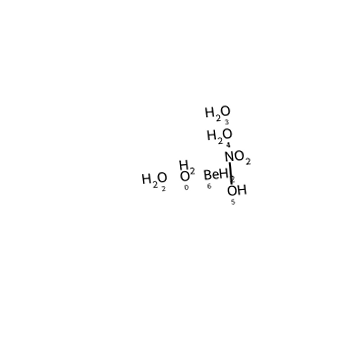 O.O.O.O.O=[N+]([O-])O.[BeH2]